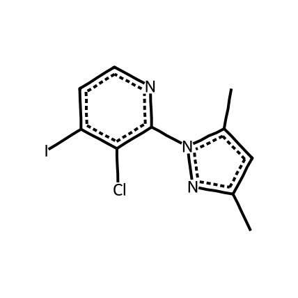 Cc1cc(C)n(-c2nccc(I)c2Cl)n1